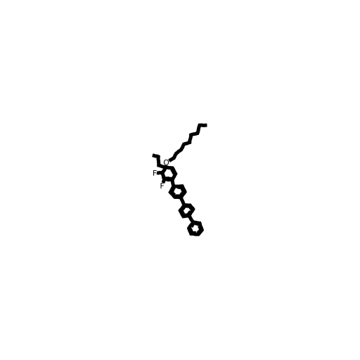 CCCCCCCCCOC1(CCC)C=CC(c2ccc(-c3ccc(-c4ccccc4)cc3)cc2)=C(F)C1F